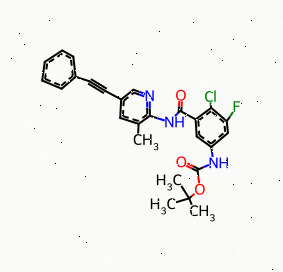 Cc1cc(C#Cc2ccccc2)cnc1NC(=O)c1cc(NC(=O)OC(C)(C)C)cc(F)c1Cl